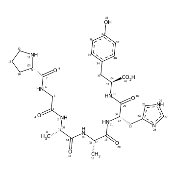 C[C@H](NC(=O)CNC(=O)[C@@H]1CCCN1)C(=O)N[C@@H](C)C(=O)N[C@@H](Cc1c[nH]cn1)C(=O)N[C@@H](Cc1ccc(O)cc1)C(=O)O